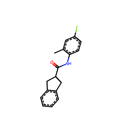 Cc1cc(F)ccc1NC(=O)C1Cc2ccccc2C1